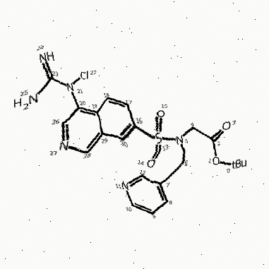 CC(C)(C)OC(=O)CN(Cc1cccnc1)S(=O)(=O)c1ccc2c(N(Cl)C(=N)N)cncc2c1